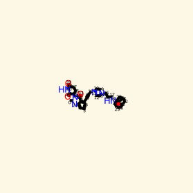 Cc1nc2cccc(C#CCN3CCN(CCCNC45CC6CC(CC(C6)C4)C5)CC3)c2c(=O)n1C1CCC(=O)NC1=O